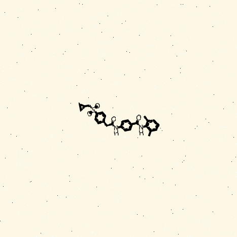 Cc1cccc(C)c1NC(=O)c1ccc(NC(=O)Cc2ccc(S(=O)(=O)CC3CC3)cc2)cc1